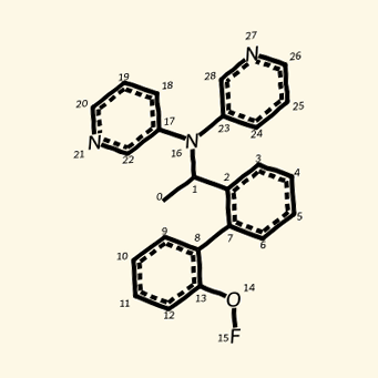 CC(c1ccccc1-c1ccccc1OF)N(c1cccnc1)c1cccnc1